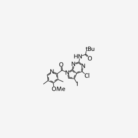 COc1c(C)cnc(C(=O)n2cc(I)c3c(Cl)nc(NC(=O)C(C)(C)C)nc32)c1C